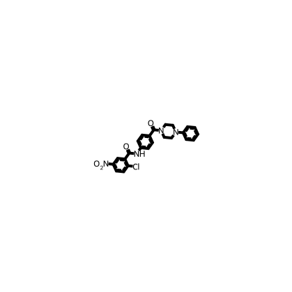 O=C(Nc1ccc(C(=O)N2CCN(c3ccccc3)CC2)cc1)c1cc([N+](=O)[O-])ccc1Cl